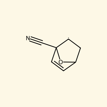 N#CC12[CH]CC(C=C1)O2